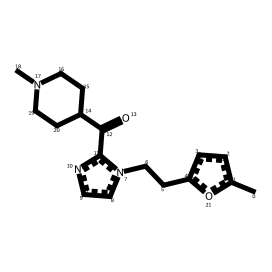 Cc1ccc(CCn2ccnc2C(=O)C2CCN(C)CC2)o1